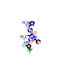 CCc1c(N2CCN(C(=O)c3ncccc3N)CC2)c(=O)n2nc(C3=CCOCC3)nc2n1CC(=O)Nc1ccc(C(F)(F)F)cc1Cl